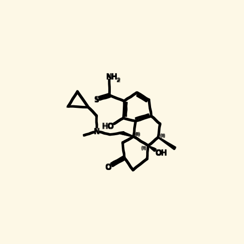 C[C@@H]1Cc2ccc(C(N)=S)c(O)c2[C@@]2(CCN(C)CC3CC3)CC(=O)CC[C@@]12O